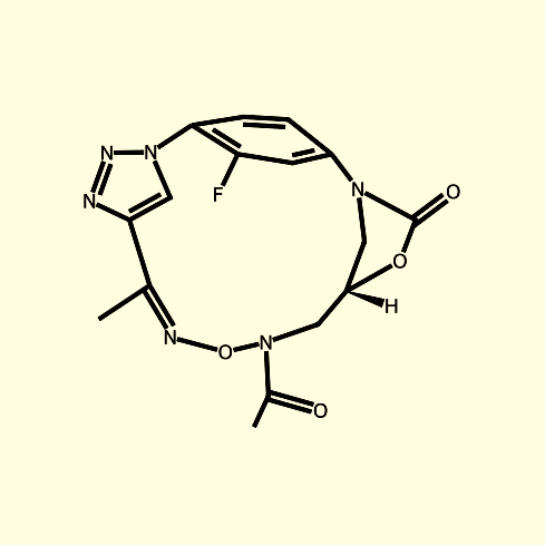 CC(=O)N1C[C@@H]2CN(C(=O)O2)c2ccc(c(F)c2)-n2cc(nn2)C(C)=NO1